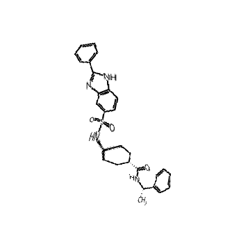 C[C@H](NC(=O)[C@H]1CC[C@H](NS(=O)(=O)c2ccc3[nH]c(-c4ccccc4)nc3c2)CC1)c1ccccc1